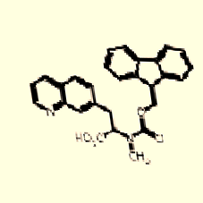 CN(C(=O)OCC1c2ccccc2-c2ccccc21)[C@H](Cc1ccc2cccnc2c1)C(=O)O